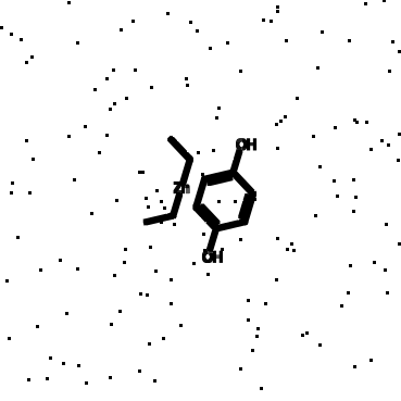 C[CH2][Zn][CH2]C.Oc1ccc(O)cc1